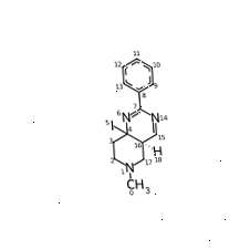 CN1CCC2(I)N=C(c3ccccc3)N=C[C@H]2C1